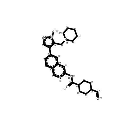 Cn1ncc(-c2ccc3cnc(NC(=O)C4CCC(C=O)CC4)cc3c2)c1CN1CCCCC1